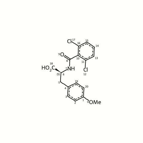 COc1ccc(C[C@H](NC(=O)c2c(Cl)cccc2Cl)C(=O)O)cc1